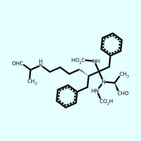 CC(C=O)NCCCC[C@@H](Cc1ccccc1)C(Cc1ccccc1)(NC(=O)O)N(NC(=O)O)[C@@H](C)C=O